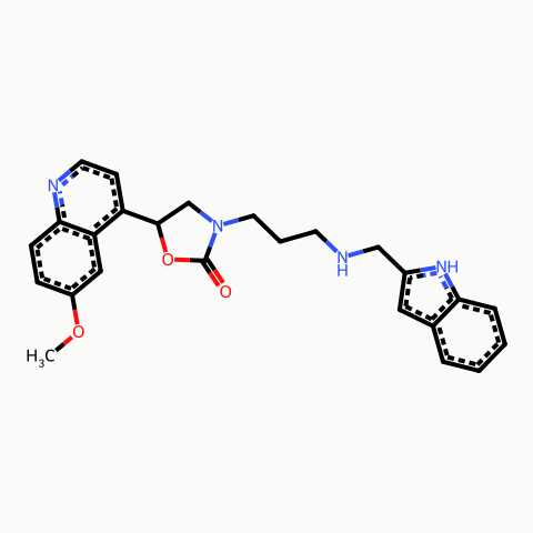 COc1ccc2nccc(C3CN(CCCNCc4cc5ccccc5[nH]4)C(=O)O3)c2c1